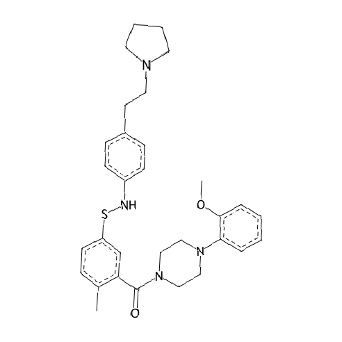 COc1ccccc1N1CCN(C(=O)c2cc(SNc3ccc(CCN4CCCC4)cc3)ccc2C)CC1